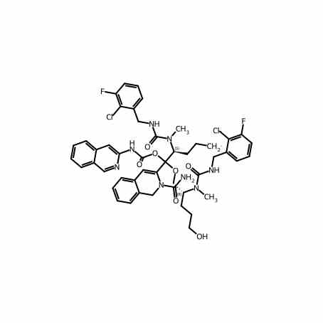 [CH2]CC[C@H](N(C)C(=O)NCc1cccc(F)c1Cl)C(OC[C@@H](CCCO)N(C)C(=O)NCc1cccc(F)c1Cl)(OC(=O)Nc1cc2ccccc2cn1)C1=Cc2ccccc2CN1C(N)=O